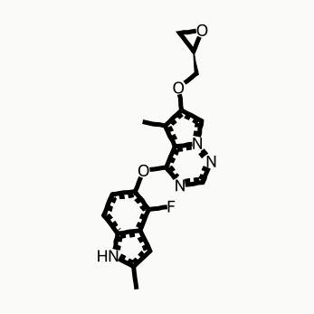 Cc1cc2c(F)c(Oc3ncnn4cc(OC[C@H]5CO5)c(C)c34)ccc2[nH]1